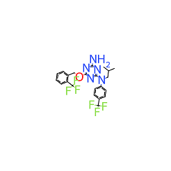 CC(C)CN(c1ccc(C(F)(F)F)cc1)c1nc(N)nc(OCc2ccccc2C(F)(F)F)n1